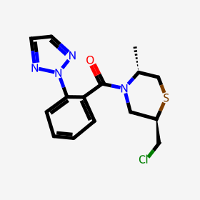 C[C@@H]1CS[C@@H](CCl)CN1C(=O)c1ccccc1-n1nccn1